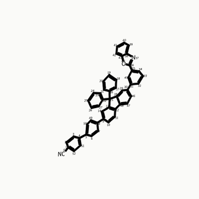 N#Cc1ccc(-c2ccc(-c3ccc4c(c3)C(c3ccccc3)(c3ccccc3)c3cc(-c5cccc(-c6nc7ccccc7o6)c5)ccc3-4)cc2)cc1